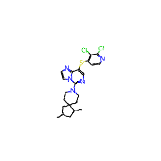 CC1C[C@H](C)C2(CCN(c3ncc(Sc4ccnc(Cl)c4Cl)c4nccn34)CC2)C1